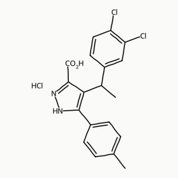 Cc1ccc(-c2[nH]nc(C(=O)O)c2C(C)c2ccc(Cl)c(Cl)c2)cc1.Cl